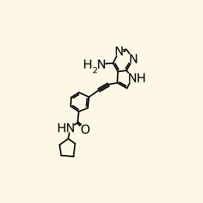 Nc1ncnc2[nH]cc(C#Cc3cccc(C(=O)NC4CCCC4)c3)c12